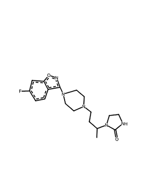 CC(CCN1CCN(c2noc3cc(F)ccc23)CC1)N1CCNC1=O